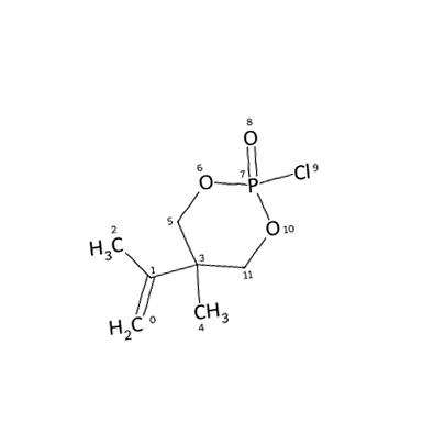 C=C(C)C1(C)COP(=O)(Cl)OC1